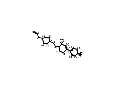 C=CCC1CCC(CCC2CCC(c3ccc(F)cc3)=CC2=O)CC1